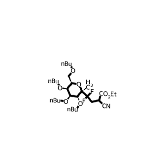 CCCCOC[C@H]1O[C@@](C)(C(F)(F)CC(C#N)C(=O)OCC)[C@H](OCCCC)[C@@H](OCCCC)[C@H]1OCCCC